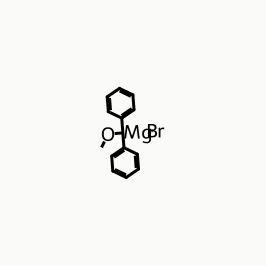 CO[C]([Mg][Br])(c1ccccc1)c1ccccc1